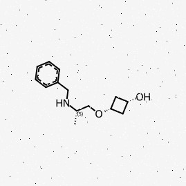 C[C@@H](CO[C@H]1C[C@@H](O)C1)NCc1ccccc1